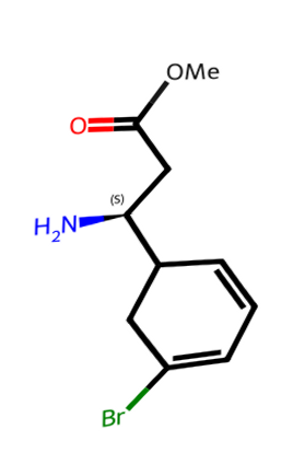 COC(=O)C[C@H](N)C1C=CC=C(Br)C1